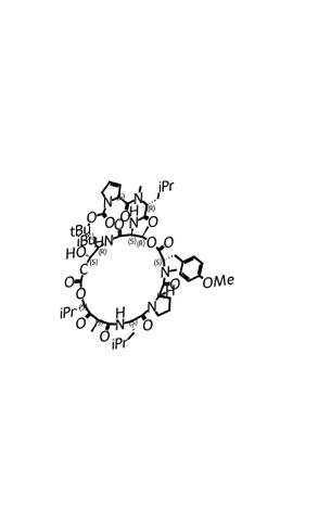 CC[C@H](C)[C@H]1NC(=O)[C@@H](NC(=O)[C@@H](CC(C)C)N(C)C(=O)[C@@H]2C=CCN2C(=O)OC(C)(C)C)[C@@H](C)OC(=O)[C@H](Cc2ccc(OC)cc2)N(C)C(=O)[C@@H]2CCCN2C(=O)[C@H](CC(C)C)NC(=O)[C@@H](C)C(=O)[C@H](C(C)C)OC(=O)C[C@@H]1O